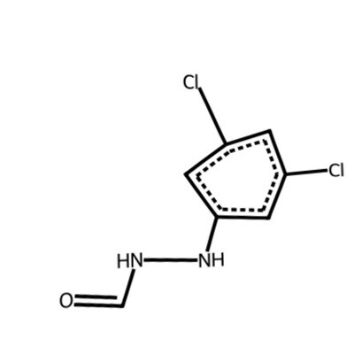 O=CNNc1cc(Cl)cc(Cl)c1